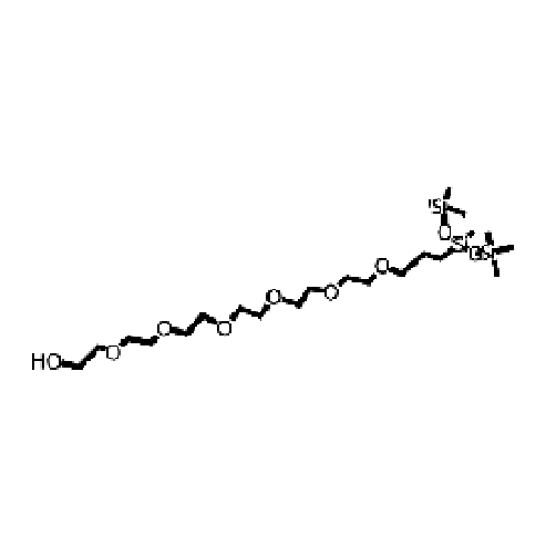 C[Si](C)(C)O[Si](C)(CCCOCCOCCOCCOCCOCCOCCO)O[Si](C)(C)C